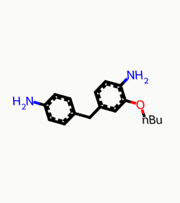 CCCCOc1cc(Cc2ccc(N)cc2)ccc1N